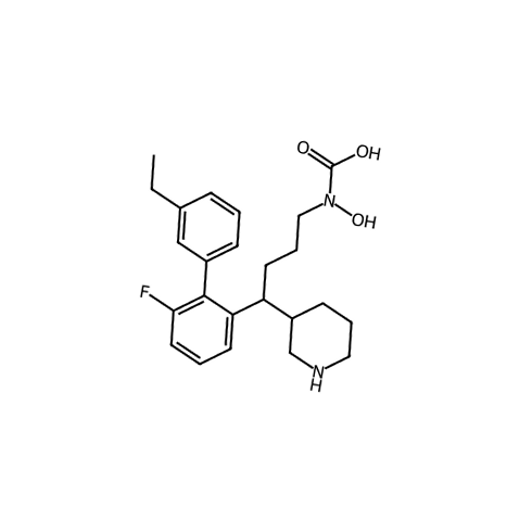 CCc1cccc(-c2c(F)cccc2C(CCCN(O)C(=O)O)C2CCCNC2)c1